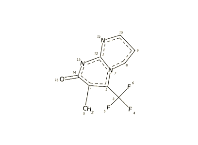 Cc1c(C(F)(F)F)n2cccnc2nc1=O